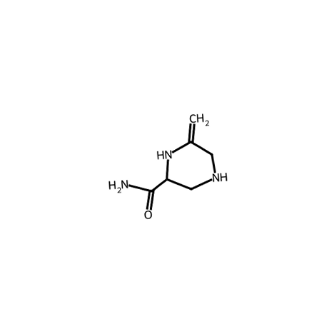 C=C1CNCC(C(N)=O)N1